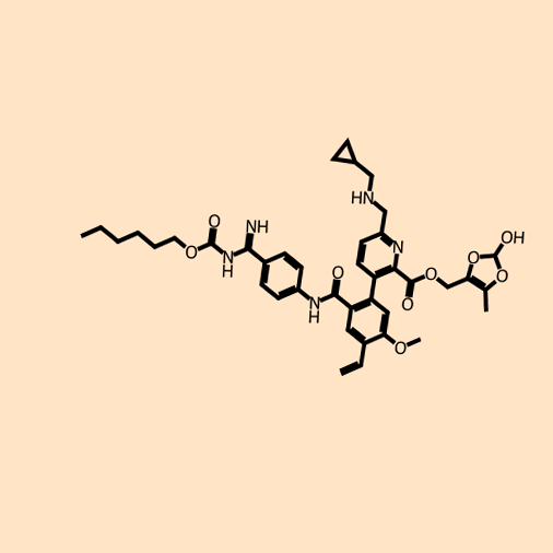 C=Cc1cc(C(=O)Nc2ccc(C(=N)NC(=O)OCCCCCC)cc2)c(-c2ccc(CNCC3CC3)nc2C(=O)OCC2=C(C)OC(O)O2)cc1OC